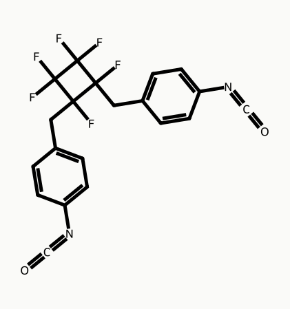 O=C=Nc1ccc(CC2(F)C(F)(F)C(F)(F)C2(F)Cc2ccc(N=C=O)cc2)cc1